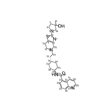 CC1(O)CCN(c2nc3c(s2)CCN(CC[C@H]2CC[C@H](NC(=O)c4cccc5ncccc45)CC2)C3)C1